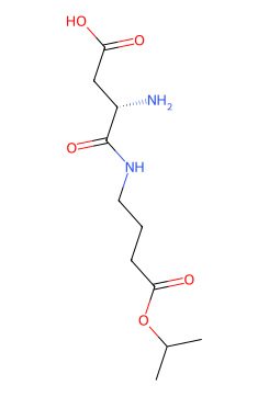 CC(C)OC(=O)CCCNC(=O)[C@@H](N)CC(=O)O